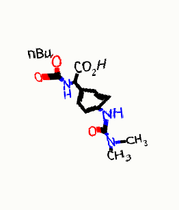 CCCCOC(=O)NC(C(=O)O)c1ccc(NC(=O)N(C)C)cc1